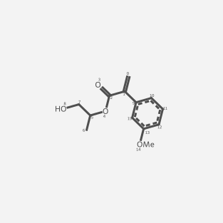 C=C(C(=O)OC(C)CO)c1cccc(OC)c1